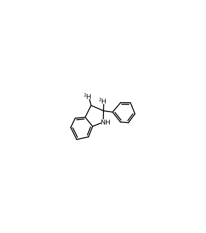 [2H]C1c2ccccc2NC1([2H])c1ccccc1